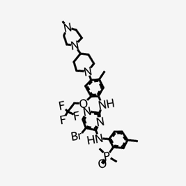 Cc1ccc(Nc2nc(Nc3cc(C)c(N4CCC(N5CCN(C)CC5)CC4)cc3OCC(F)(F)F)ncc2Br)c(P(C)(C)=O)c1